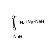 [Na+].[Na+].[NaH].[NaH].[O-][O-]